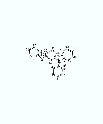 CC1(N(c2ccccc2)c2cccc(Cc3ccccc3)c2)C=CC=CC=C1